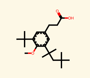 COc1c(C(C)(C)C)cc(CCC(=O)O)cc1C(C)(C)CC(C)(C)C